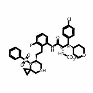 O=C(O)N[C@H](C(=O)Nc1cccc(F)c1CC[C@H]1CNCC2(CC2)N1S(=O)(=O)c1ccccc1)[C@@H](c1ccc(Cl)cc1)C1CCOCC1